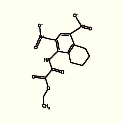 CCOC(=O)C(=O)Nc1c([N+](=O)[O-])cc([N+](=O)[O-])c2c1CCCC2